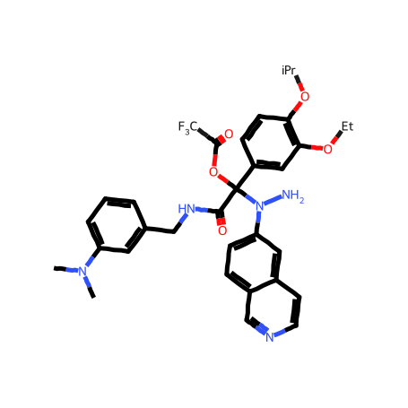 CCOc1cc(C(OC(=O)C(F)(F)F)(C(=O)NCc2cccc(N(C)C)c2)N(N)c2ccc3cnccc3c2)ccc1OC(C)C